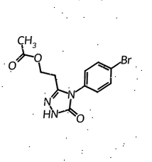 CC(=O)OCCc1n[nH]c(=O)n1-c1ccc(Br)cc1